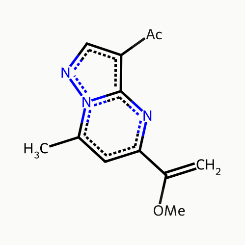 C=C(OC)c1cc(C)n2ncc(C(C)=O)c2n1